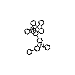 C1=CC2c3ccccc3C(c3ccccc3)(c3ccccc3N3c4ccccc4C4C=C(c5ccc6c(c5)c5cc(-c7ccccc7)ccc5n6-c5ccccc5)C=CC43)C2C=C1